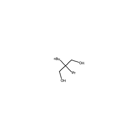 CCCCC(CO)(CO)C(C)C